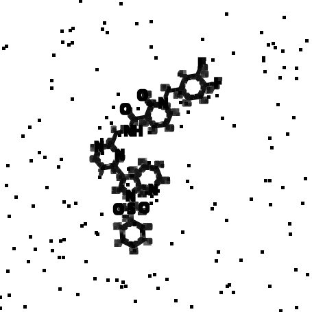 O=C(NCc1nccc(-c2cn(S(=O)(=O)c3ccccc3)c3ncccc23)n1)c1cccn(Cc2ccc(F)c(F)c2)c1=O